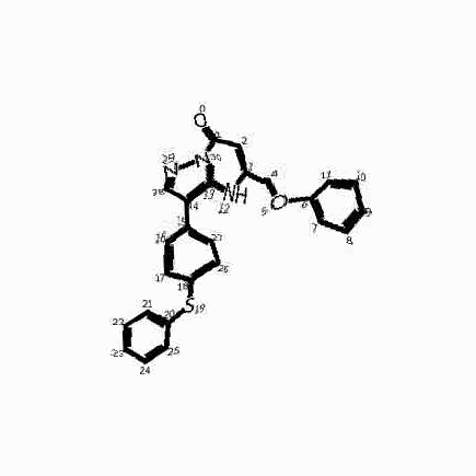 O=c1cc(COc2ccccc2)[nH]c2c(-c3ccc(Sc4ccccc4)cc3)cnn12